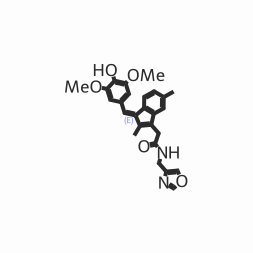 COc1cc(/C=C2/C(C)=C(CC(=O)NCc3cocn3)c3cc(C)ccc32)cc(OC)c1O